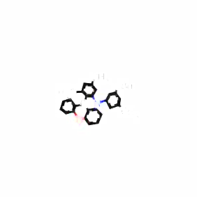 Cc1cc(N2c3cc(C)cc(C)c3B3c4ccccc4Oc4cccc2c43)cc(C(C)(C)C)c1